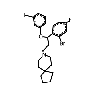 Fc1ccc(C(CCN2CCC3(CCCC3)CC2)Oc2cccc(I)c2)c(Br)c1